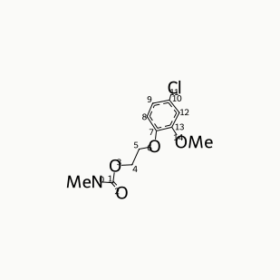 CNC(=O)OCCOc1ccc(Cl)cc1OC